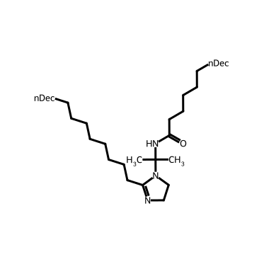 CCCCCCCCCCCCCCCCCCC1=NCCN1C(C)(C)NC(=O)CCCCCCCCCCCCCCC